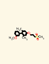 COc1cccc(-c2c(C)cc(OCCCS(C)(=O)=O)cc2C)c1